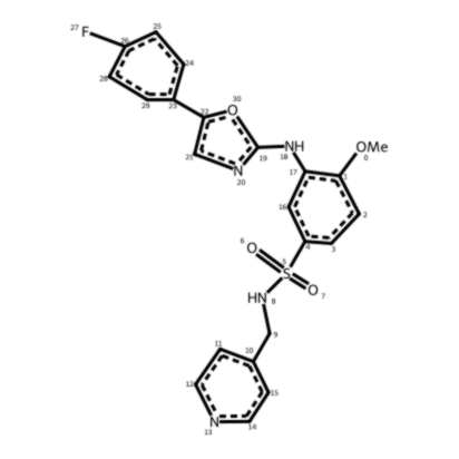 COc1ccc(S(=O)(=O)NCc2ccncc2)cc1Nc1ncc(-c2ccc(F)cc2)o1